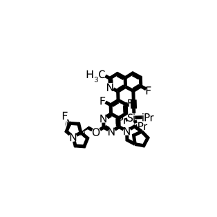 Cc1cc2ccc(F)c(C#C[Si](C(C)C)(C(C)C)C(C)C)c2c(-c2c(F)cc3c(N4CC5CCC(C5)C4)nc(OC[C@@]45CCCN4C[C@H](F)C5)nc3c2F)n1